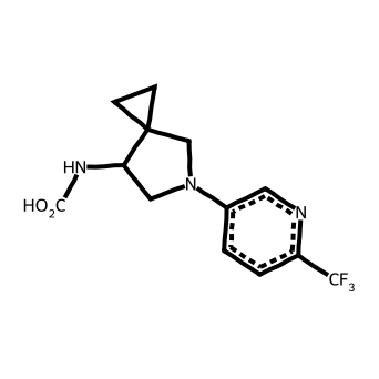 O=C(O)NC1CN(c2ccc(C(F)(F)F)nc2)CC12CC2